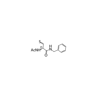 CC(=O)N[C@@H](C=S)C(=O)NCc1ccccc1